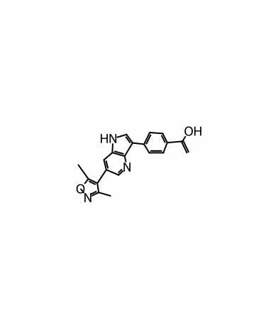 C=C(O)c1ccc(-c2c[nH]c3cc(-c4c(C)noc4C)cnc23)cc1